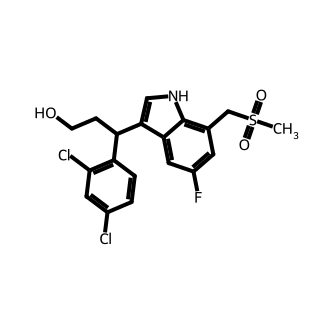 CS(=O)(=O)Cc1cc(F)cc2c(C(CCO)c3ccc(Cl)cc3Cl)c[nH]c12